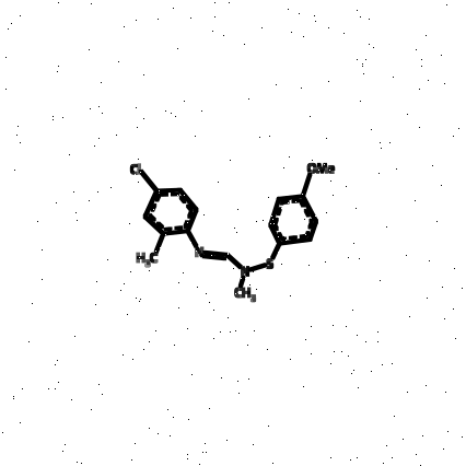 COc1ccc(SN(C)C=Nc2ccc(Cl)cc2C)cc1